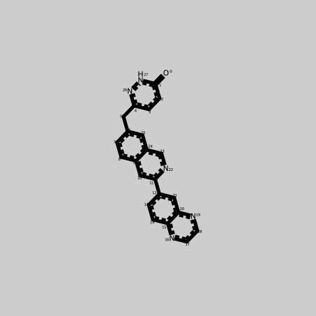 O=c1ccc(Cc2ccc3cc(-c4ccc5nccnc5c4)ncc3c2)n[nH]1